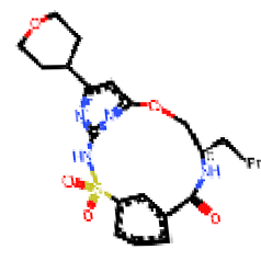 CC(C)C[C@@H]1COc2cc(C3CCOCC3)nc(n2)NS(=O)(=O)c2cccc(c2)C(=O)N1